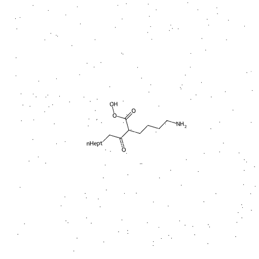 CCCCCCCCC(=O)C(CCCCN)C(=O)OO